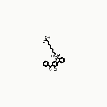 O=C(O)CCCCCCCNS(=O)(=O)c1ccccc1-c1ccc(C(=O)c2ccccc2)c(Cl)c1